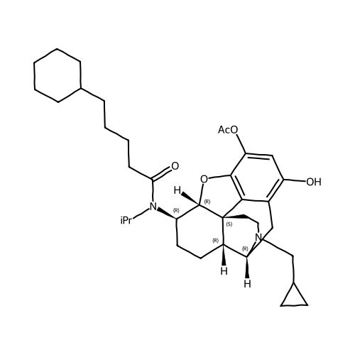 CC(=O)Oc1cc(O)c2c3c1O[C@H]1[C@H](N(C(=O)CCCCC4CCCCC4)C(C)C)CC[C@H]4[C@@H](C2)N(CC2CC2)CC[C@@]341